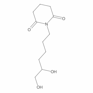 O=C1CCCC(=O)N1CCCCC(O)CO